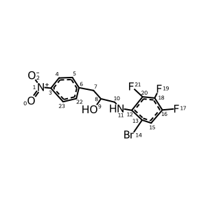 O=[N+]([O-])c1ccc(CC(O)CNc2c(Br)cc(F)c(F)c2F)cc1